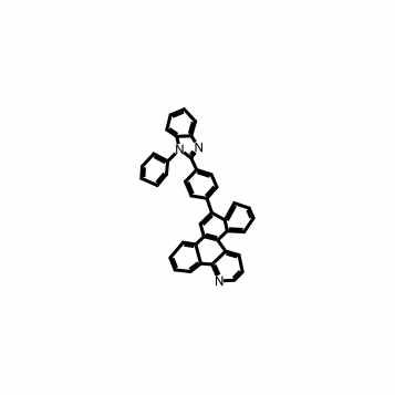 c1ccc(-n2c(-c3ccc(-c4cc5c6ccccc6c6ncccc6c5c5ccccc45)cc3)nc3ccccc32)cc1